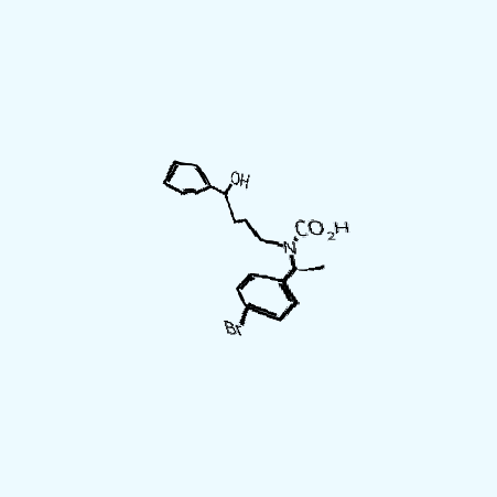 C[C@@H](c1ccc(Br)cc1)N(CCCC(O)c1ccccc1)C(=O)O